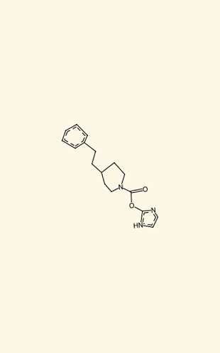 O=C(Oc1ncc[nH]1)N1CCC(CCc2ccccc2)CC1